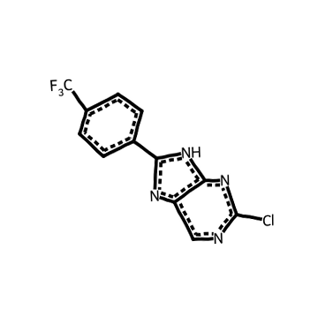 FC(F)(F)c1ccc(-c2nc3cnc(Cl)nc3[nH]2)cc1